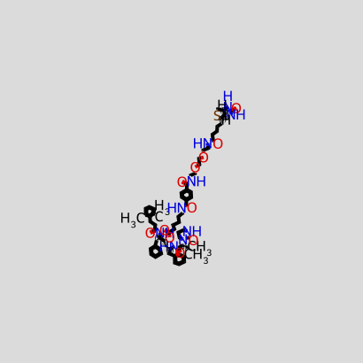 Cc1cccc(C)c1CCC(=O)N[C@@H](Cc1ccccc1)[C@H](C[C@H](Cc1ccccc1)NC(=O)[C@H](C(C)C)N1CCCNC1=O)OC(=O)CCCCCNC(=O)c1ccc(C(=O)NCCOCCOCCNC(=O)CCCC[C@@H]2SC[C@@H]3NC(=O)N[C@@H]32)cc1